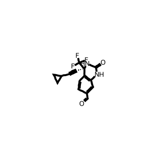 O=Cc1ccc2c(c1)NC(=O)N[C@]2(C#CC1CC1)C(F)(F)F